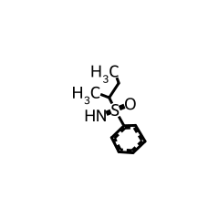 CCC(C)S(=N)(=O)c1ccccc1